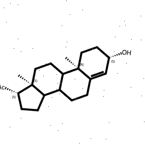 CC(=O)[C@H]1CCC2C3CCC4=C[C@@H](O)CC[C@]4(C)C3CC[C@@]21C